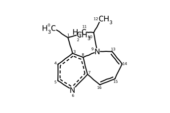 CC(C)c1ccnc2c1N(C(C)C)C=CC=C2